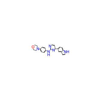 c1cc(-c2ccc3[nH]ccc3c2)nc(Nc2ccc(N3CCOCC3)cc2)n1